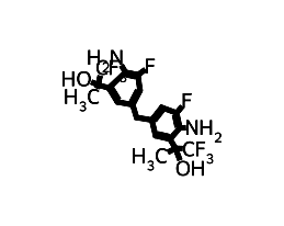 CC(O)(c1cc(Cc2cc(F)c(N)c(C(C)(O)C(F)(F)F)c2)cc(F)c1N)C(F)(F)F